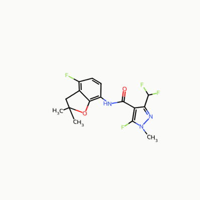 Cn1nc(C(F)F)c(C(=O)Nc2ccc(F)c3c2OC(C)(C)C3)c1F